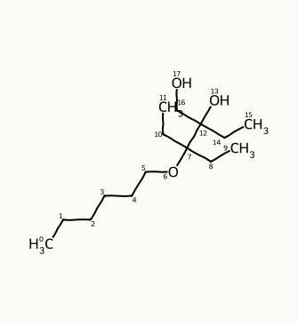 CCCCCCOC(CC)(CC)C(O)(CC)CO